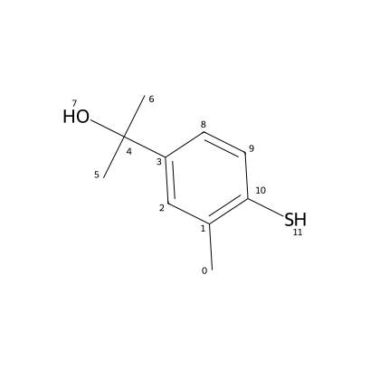 Cc1cc(C(C)(C)O)ccc1S